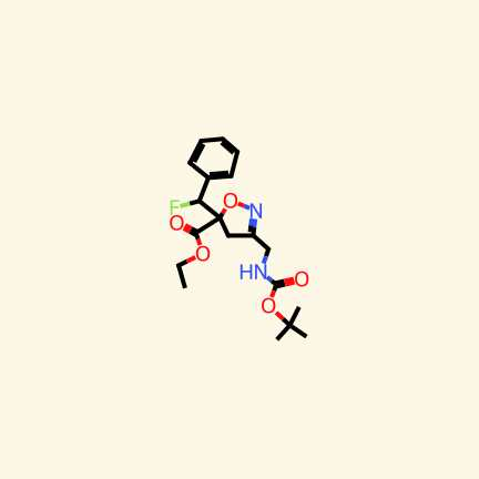 CCOC(=O)C1(C(F)c2ccccc2)CC(CNC(=O)OC(C)(C)C)=NO1